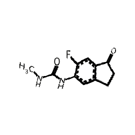 CNC(=O)Nc1cc2c(cc1F)C(=O)CC2